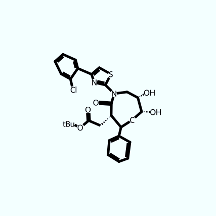 CC(C)(C)OC(=O)C[C@@H]1C(=O)N(c2nc(-c3ccccc3Cl)cs2)C[C@H](O)[C@H](O)CC1c1ccccc1